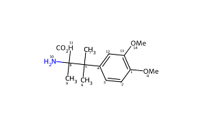 COc1ccc(C(C)(C)C(C)(N)C(=O)O)cc1OC